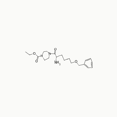 CCOC(=O)N1CCN(C(=O)C(N)CCCCOCc2ccccc2)CC1